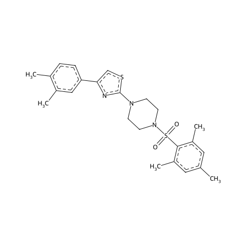 Cc1cc(C)c(S(=O)(=O)N2CCN(c3nc(-c4ccc(C)c(C)c4)cs3)CC2)c(C)c1